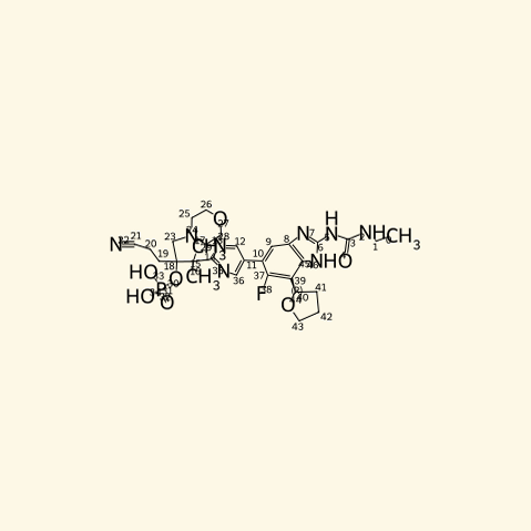 CCNC(=O)Nc1nc2cc(-c3cnc(C(C)(C)C(CCC#N)(CN4CCOCC4)OP(=O)(O)O)nc3)c(F)c([C@H]3CCCO3)c2[nH]1